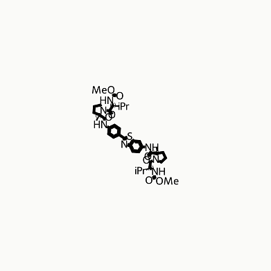 COC(=O)N[C@H](C(=O)N1CCC[C@@]1(C)C(=O)Nc1ccc(-c2nc3ccc(NC(=O)[C@]4(C)CCCN4C(=O)[C@@H](NC(=O)OC)C(C)C)cc3s2)cc1)C(C)C